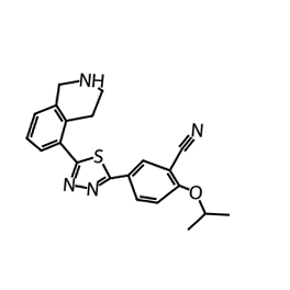 CC(C)Oc1ccc(-c2nnc(-c3cccc4c3CCNC4)s2)cc1C#N